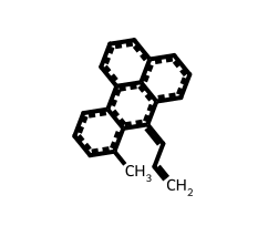 C=C/C=c1/c2cccc3cccc(c4cccc(C)c14)c32